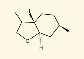 CC1CO[C@@H]2C[C@H](C)CC[C@@H]12